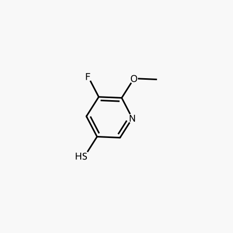 COc1ncc(S)cc1F